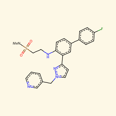 CNS(=O)(=O)CCNc1ccc(-c2ccc(F)cc2)cc1-c1ccn(Cc2cccnc2)n1